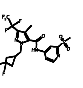 Cc1c(C(F)(F)C(F)(F)F)nn(CC2CC(F)(F)C2)c1C(=O)Nc1ccnc(S(C)(=O)=O)c1